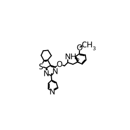 COc1cccc(CC(N)COc2nc(-c3ccncc3)nc3sc4c(c23)CCCC4)c1